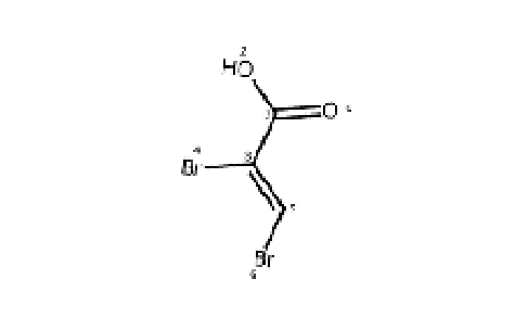 O=C(O)C(Br)=CBr